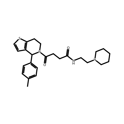 Cc1ccc(C2c3ccsc3CCN2C(=O)CCC(=O)NCCN2CCCCC2)cc1